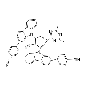 Cc1nc(C)nc(-c2cc(-n3c4ccccc4c4ccc(-c5ccc(C#N)cc5)cc43)c(C#N)c(-n3c4ccccc4c4ccc(-c5ccc(C#N)cc5)cc43)c2)n1